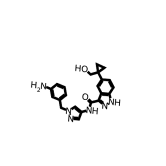 Nc1cccc(Cn2cc(NC(=O)c3n[nH]c4ccc(C5(CO)CC5)cc34)cn2)c1